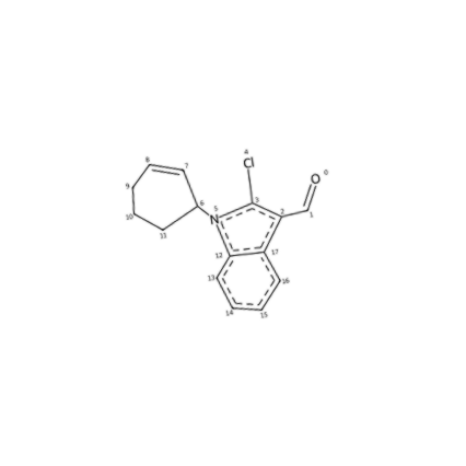 O=Cc1c(Cl)n(C2C=CCCC2)c2ccccc12